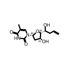 C=CCC(O)[C@H]1O[C@@H](n2cc(C)c(=O)[nH]c2=O)C[C@@H]1O